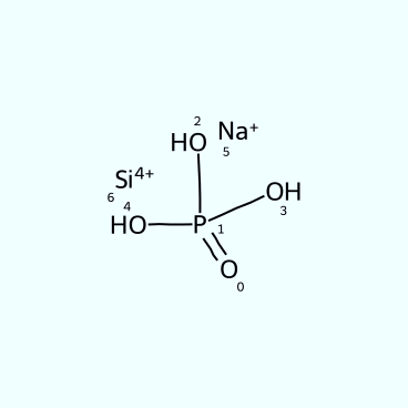 O=P(O)(O)O.[Na+].[Si+4]